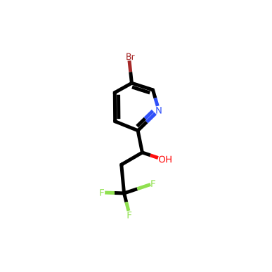 OC(CC(F)(F)F)c1ccc(Br)cn1